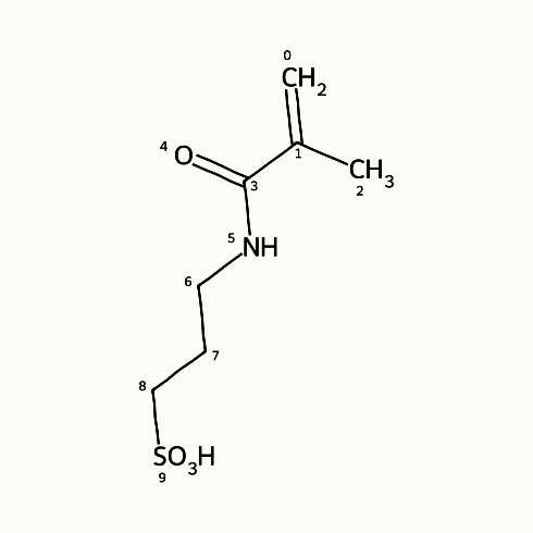 C=C(C)C(=O)NCCCS(=O)(=O)O